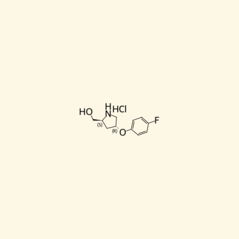 Cl.OC[C@@H]1C[C@@H](Oc2ccc(F)cc2)CN1